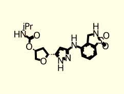 CC(C)NC(=O)O[C@H]1CO[C@@H](c2cc(Nc3cccc4c3CNS4(=O)=O)n[nH]2)C1